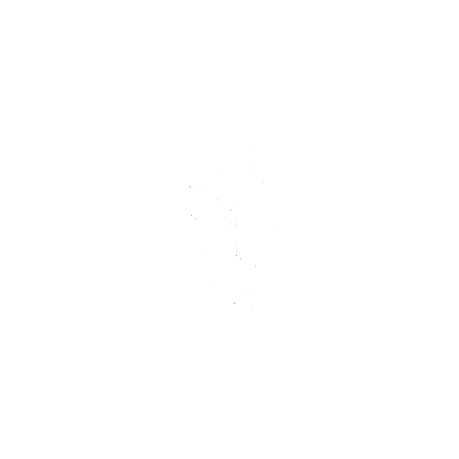 C[C@H](Nc1cc(=O)n(CC2CC2)c(=O)[nH]1)c1cccc(C(F)(F)F)c1